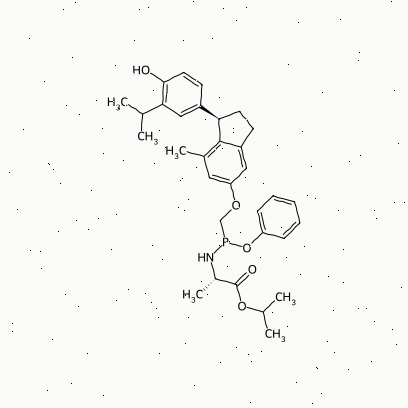 Cc1cc(OCP(N[C@@H](C)C(=O)OC(C)C)Oc2ccccc2)cc2c1[C@@H](c1ccc(O)c(C(C)C)c1)CC2